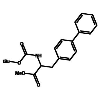 COC(=O)C(Cc1ccc(-c2ccccc2)cc1)NC(=O)OC(C)(C)C